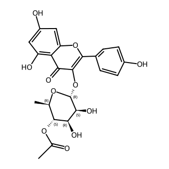 CC(=O)O[C@H]1[C@H](O)[C@H](O)[C@@H](Oc2c(-c3ccc(O)cc3)oc3cc(O)cc(O)c3c2=O)O[C@@H]1C